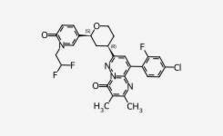 Cc1nc2c(-c3ccc(Cl)cc3F)cc([C@@H]3CCO[C@H](c4ccc(=O)n(CC(F)F)c4)C3)nn2c(=O)c1C